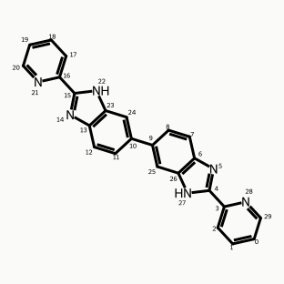 c1ccc(-c2nc3ccc(-c4ccc5nc(-c6ccccn6)[nH]c5c4)cc3[nH]2)nc1